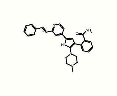 CN1CCN(c2[nH]c(-c3ccnc(/C=C/c4ccccc4)c3)cc2-c2ccccc2C(N)=O)CC1